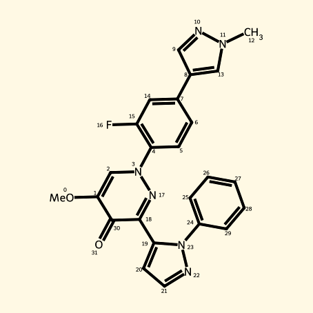 COc1cn(-c2ccc(-c3cnn(C)c3)cc2F)nc(-c2ccnn2-c2ccccc2)c1=O